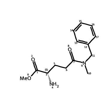 COC(=O)[C@@H](N)CCC(=O)N(C)Cc1ccccc1